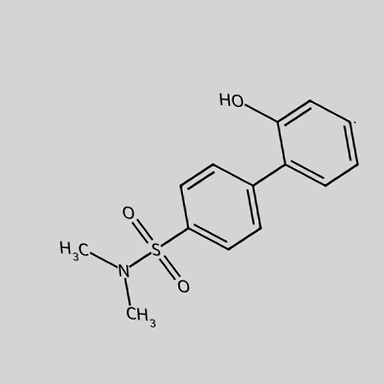 CN(C)S(=O)(=O)c1ccc(-c2cc[c]cc2O)cc1